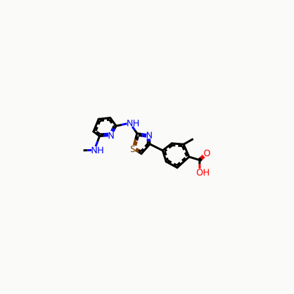 CNc1cccc(Nc2nc(-c3ccc(C(=O)O)c(C)c3)cs2)n1